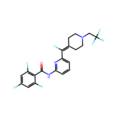 O=C(Nc1cccc(C(F)=C2CCN(CC(F)(F)F)CC2)n1)c1c(F)cc(F)cc1F